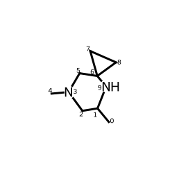 CC1CN(C)CC2(CC2)N1